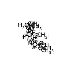 COCCn1c(Cc2cc(F)c(B3OC(C)(C)C(C)(C)O3)cc2F)nc2ccc(C(=O)OC(C)(C)C)cc21